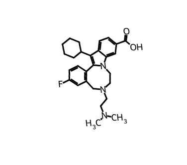 CN(C)CCN1CCn2c(c(C3CCCCC3)c3ccc(C(=O)O)cc32)-c2ccc(F)cc2C1